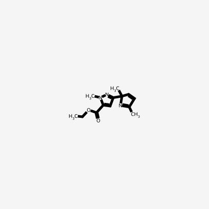 CCOC(=O)c1cc(C2(C)C=CC(C)=N2)nn1C